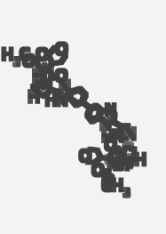 COC(=O)N[C@H](C(=O)N1C(c2nc3ccc(-c4ccc5nc(-c6cnc([C@@H]7C[C@H]8C[C@H]8N7C(=O)[C@@H](NC(=O)OC)C7CCOCC7)[nH]6)cnc5c4)cc3[nH]2)C[C@H]2C[C@H]21)C1CCOCC1